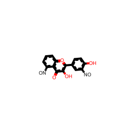 O=Nc1cc(-c2oc3cccc(N=O)c3c(=O)c2O)ccc1O